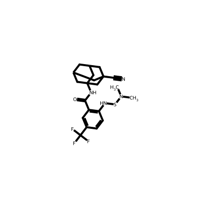 CN(C)SNc1ccc(C(F)(F)F)cc1C(=O)NC12CC3CC(CC(C#N)(C3)C1)C2